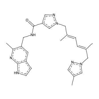 C/C(=C\C=C(/C)Cn1cc(C(=O)NCc2cc3cc[nH]c3nc2C)cn1)Cn1cc(C)cn1